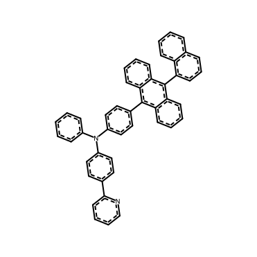 c1ccc(N(c2ccc(-c3ccccn3)cc2)c2ccc(-c3c4ccccc4c(-c4cccc5ccccc45)c4ccccc34)cc2)cc1